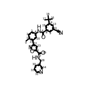 Cc1ccc(NC(=O)c2cc(C#N)cc(C(C)(C)C)c2)cc1-c1cc(C(=O)NCc2cccnc2)on1